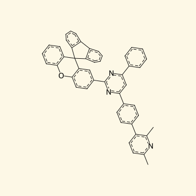 Cc1ccc(-c2ccc(-c3cc(-c4ccccc4)nc(-c4ccc5c(c4)C4(c6ccccc6O5)c5ccccc5-c5ccccc54)n3)cc2)c(C)n1